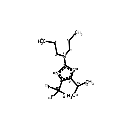 CCCN(CCC)c1nc(C(F)(F)F)c(C(C)C)s1